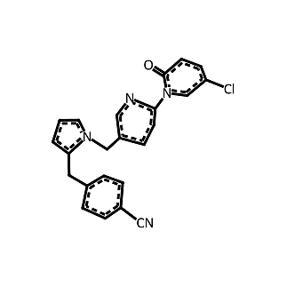 N#Cc1ccc(Cc2cccn2Cc2ccc(-n3cc(Cl)ccc3=O)nc2)cc1